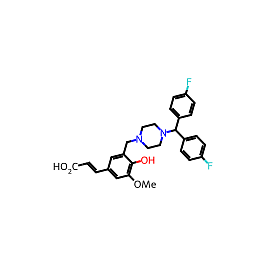 COc1cc(C=CC(=O)O)cc(CN2CCN(C(c3ccc(F)cc3)c3ccc(F)cc3)CC2)c1O